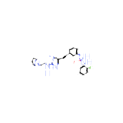 O=C(Nc1cccc(C#Cc2cnc(NCCN3CCCC3)nc2)c1)Nc1ccccc1F